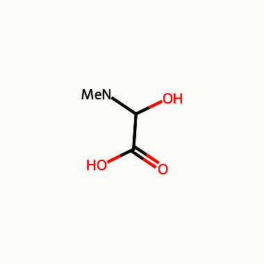 CNC(O)C(=O)O